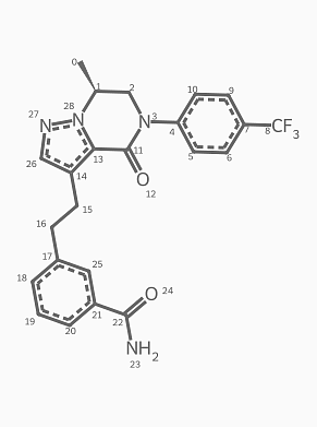 C[C@H]1CN(c2ccc(C(F)(F)F)cc2)C(=O)c2c(CCc3cccc(C(N)=O)c3)cnn21